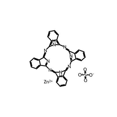 O=S(=O)([O-])[O-].[Zn+2].c1ccc2c(c1)-c1nc-2nc2[nH]c(nc3nc(nc4[nH]c(n1)c1ccccc41)-c1ccccc1-3)c1ccccc21